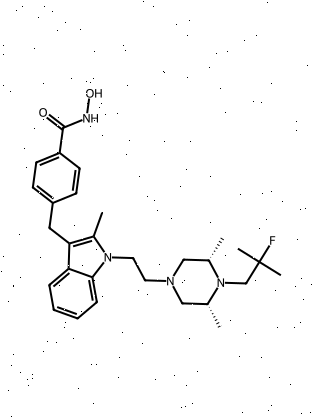 Cc1c(Cc2ccc(C(=O)NO)cc2)c2ccccc2n1CCN1C[C@@H](C)N(CC(C)(C)F)[C@@H](C)C1